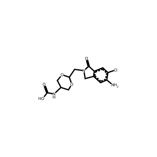 Nc1cc2c(cc1Cl)C(=O)N(CC1OCC(NC(=O)O)CO1)C2